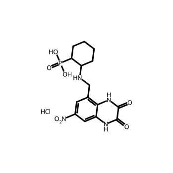 Cl.O=c1[nH]c2cc([N+](=O)[O-])cc(CNC3CCCCC3P(=O)(O)O)c2[nH]c1=O